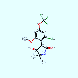 COc1cc(OC(F)(F)F)cc(Cl)c1C1C(=O)NC(C)(C)C1=O